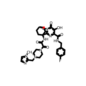 Cn1ccnc1CN1CCN(C(=O)C(=O)NC23CCC(CC2)Cn2c3nc(C(=O)NCc3ccc(F)cc3)c(O)c2=O)CC1